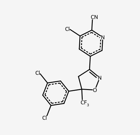 N#Cc1ncc(C2=NOC(c3cc(Cl)cc(Cl)c3)(C(F)(F)F)C2)cc1Cl